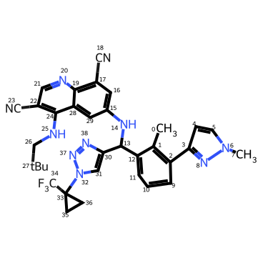 Cc1c(-c2ccn(C)n2)cccc1C(Nc1cc(C#N)c2ncc(C#N)c(NCC(C)(C)C)c2c1)c1cn(C2(C(F)(F)F)CC2)nn1